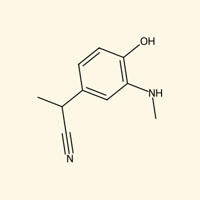 CNc1cc(C(C)C#N)ccc1O